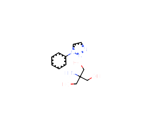 NC(CO)(CO)CO.c1ccc(-n2ccnn2)cc1